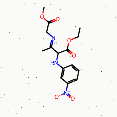 CCOC(=O)C(Nc1cccc([N+](=O)[O-])c1)/C(C)=N/CC(=O)OC